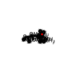 COC(C[C@@H]1O[C@H](C[C@H](COC(=O)c2ccccc2)OC(=O)c2ccccc2)[C@H](OC)[C@H]1CC(=O)C[C@H]1CC[C@@H]2O[C@@H]3[C@@H](O[C@H](C[C@@H]4COC(C)(C)O4)[C@@H]3O[Si](c3ccccc3)(c3ccccc3)C(C)(C)C)[C@@H](O[Si](c3ccccc3)(c3ccccc3)C(C)(C)C)[C@H]2O1)OC